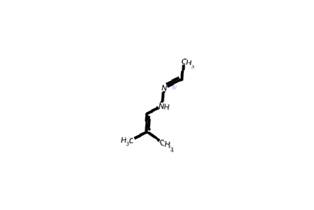 C/C=N/NC=C(C)C